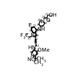 COc1cc(C(C)(C)C#N)ncc1NCC#Cc1cc2c(NC3CCN(CC(=O)CO)CC3)cc(F)cc2n1CC(F)(F)F